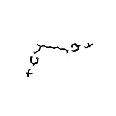 CCC(C)(C)CNc1cc[n+](C(Br)CCCCCCCC(C)CC(Br)[n+]2ccc(NCC(C)(C)CC)cc2)cc1